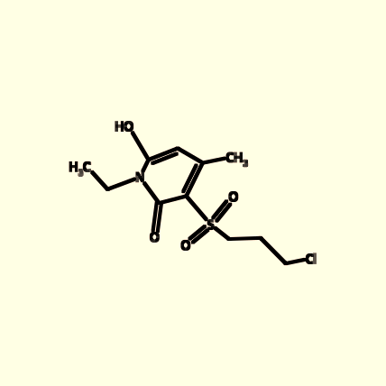 CCn1c(O)cc(C)c(S(=O)(=O)CCCCl)c1=O